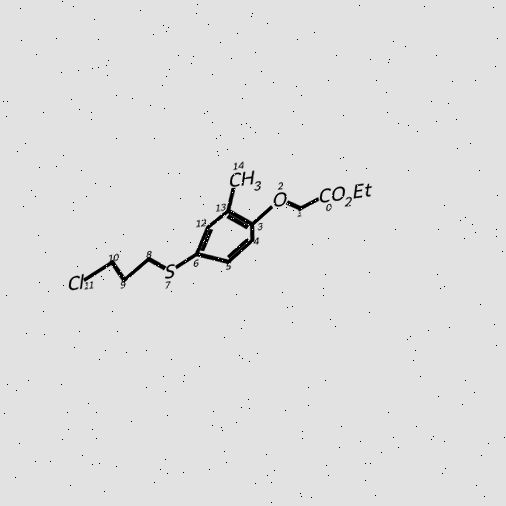 CCOC(=O)COc1ccc(SCCCCl)cc1C